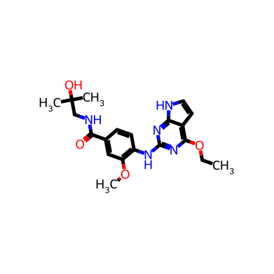 CCOc1nc(Nc2ccc(C(=O)NCC(C)(C)O)cc2OC)nc2[nH]ccc12